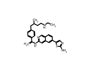 C=C(Nc1cc2cc(-c3cnc(N)s3)ccc2cn1)c1ccc(CC(C)CCNCC)cc1